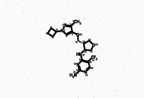 Cc1nn(C2CCC2)cc1OC[C@@H]1COC[C@H]1Nc1nc(N)ncc1C(F)(F)F